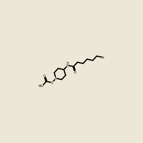 CC(C)(C)C(=O)ON1CCC(NC(=O)CCCCCBr)CC1